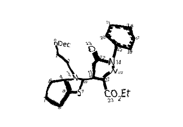 CCCCCCCCCCCCN1C2=C(CCC2)SC1C1C(=O)N(c2ccccc2)N=C1C(=O)OCC